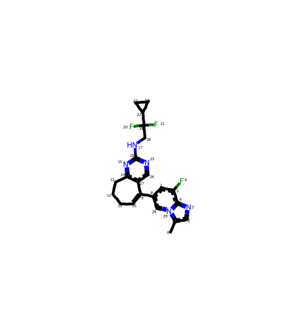 Cc1cnc2c(F)cc(C3=CCCCc4nc(NCC(F)(F)C5CC5)ncc43)cn12